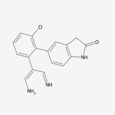 N=C/C(=C\N)c1cccc(Cl)c1-c1ccc2c(c1)CC(=O)N2